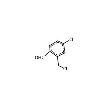 O=Cc1ccc(Cl)cc1CCl